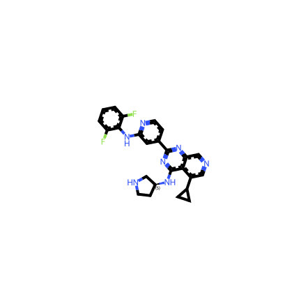 Fc1cccc(F)c1Nc1cc(-c2nc(N[C@H]3CCNC3)c3c(C4CC4)cncc3n2)ccn1